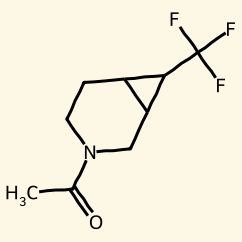 CC(=O)N1CCC2C(C1)C2C(F)(F)F